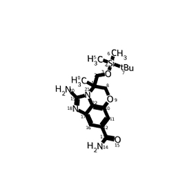 CC1(CO[Si](C)(C)C(C)(C)C)COc2cc(C(N)=O)cc3nc(N)n1c23